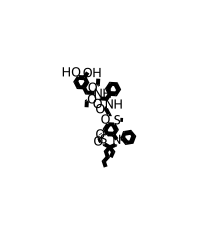 CCCCC1(CC)CN(c2ccccc2)c2cc(SC)c(OCC(=O)N[C@@H](C(=O)NC(Cc3ccc(O)c(O)c3)(OCC)OCC)c3ccccc3)cc2S(=O)(=O)C1